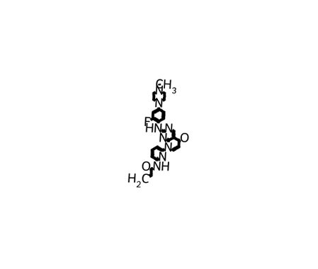 C=CC(=O)Nc1cccc(-n2ccc(=O)c3cnc(Nc4ccc(N5CCN(C)CC5)cc4F)nc32)n1